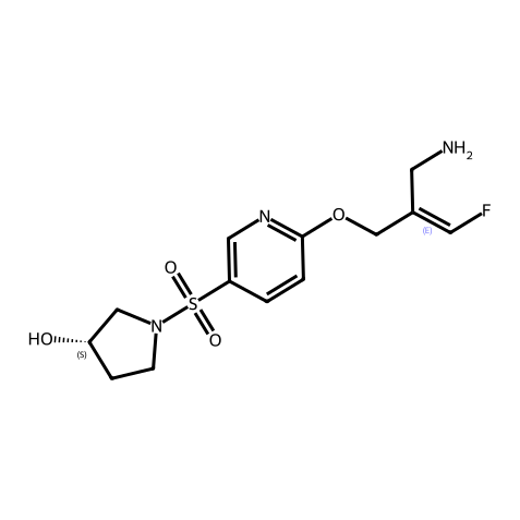 NC/C(=C\F)COc1ccc(S(=O)(=O)N2CC[C@H](O)C2)cn1